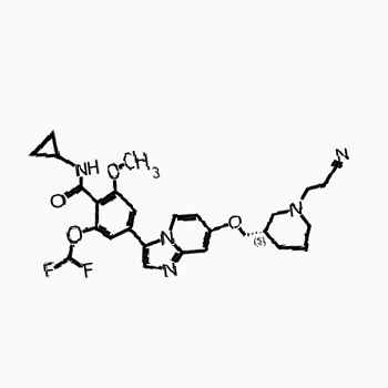 COc1cc(-c2cnc3cc(OC[C@H]4CCCN(CCC#N)C4)ccn23)cc(OC(F)F)c1C(=O)NC1CC1